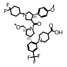 COC[C@@H]1C[C@@H](c2ccc(C(F)(F)F)cc2N2CCC(C(=O)O)CC2)CN1C(=O)C1CN(C2CCC(F)(F)CC2)C[C@H]1c1ccc(OC)cc1